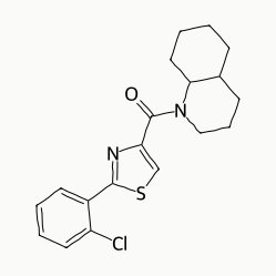 O=C(c1csc(-c2ccccc2Cl)n1)N1CCCC2CCCCC21